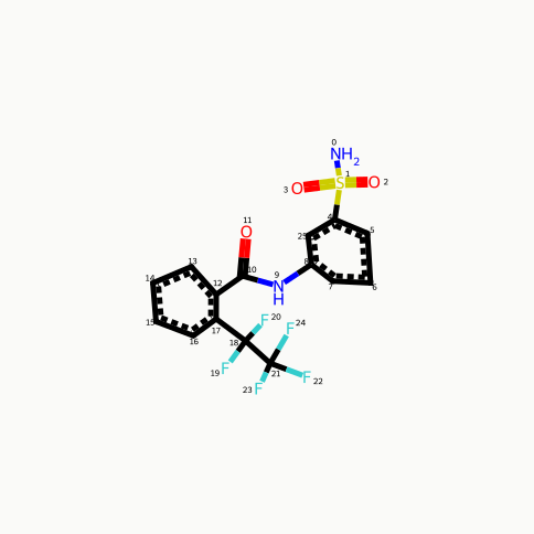 NS(=O)(=O)c1cccc(NC(=O)c2ccccc2C(F)(F)C(F)(F)F)c1